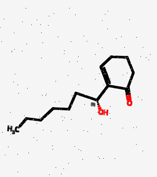 CCCCCC[C@@H](O)C1=CCCCC1=O